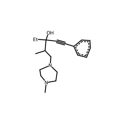 CCC(O)(C#Cc1ccccc1)C(C)CN1CCN(C)CC1